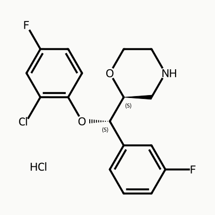 Cl.Fc1cccc([C@H](Oc2ccc(F)cc2Cl)[C@@H]2CNCCO2)c1